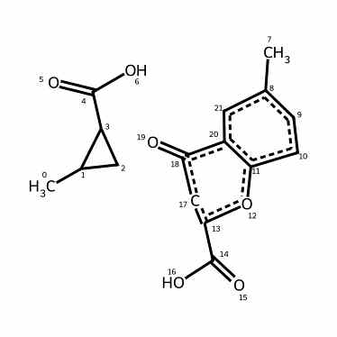 CC1CC1C(=O)O.Cc1ccc2oc(C(=O)O)cc(=O)c2c1